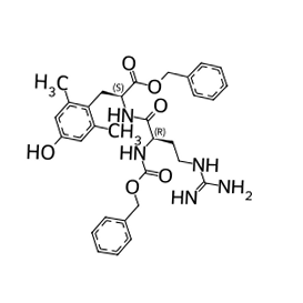 Cc1cc(O)cc(C)c1C[C@H](NC(=O)[C@@H](CCNC(=N)N)NC(=O)OCc1ccccc1)C(=O)OCc1ccccc1